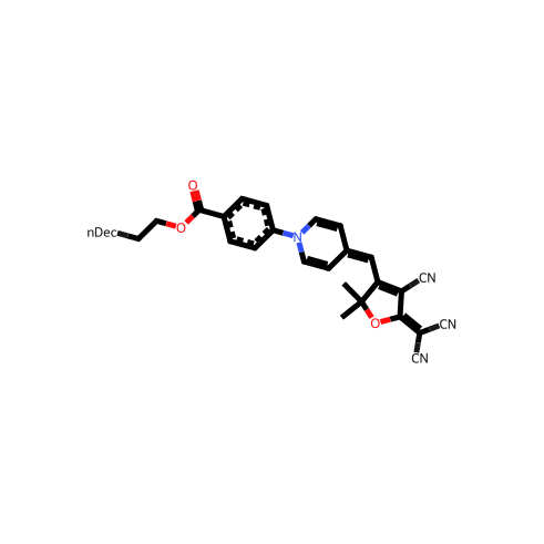 CCCCCCCCCCCCOC(=O)c1ccc(N2C=CC(=CC3=C(C#N)C(=C(C#N)C#N)OC3(C)C)C=C2)cc1